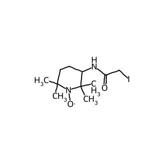 CC1(C)CCC(NC(=O)CI)C(C)(C)N1[O]